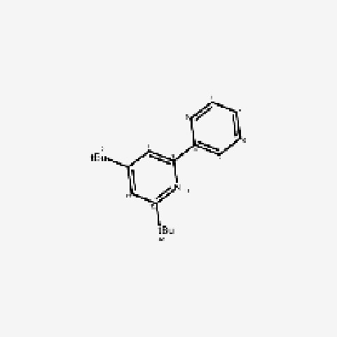 CC(C)(C)c1cc(-c2ccccc2)nc(C(C)(C)C)c1